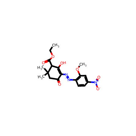 CCOC(=O)C1C(O)=C(/N=N/c2ccc([N+](=O)[O-])cc2OC)C(=O)CC1(C)C